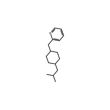 CC(C)CC1CCC(Cc2ccccn2)CC1